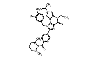 CCN1C(=O)c2nc(-c3ccc(C(=O)N4[C@H](C)CCC[C@@H]4C)nc3)n(Cc3ccc(F)c(F)c3)c2N2C[C@@H](C(C)C)N=C12